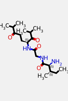 CC[C@H](C)[C@H](N)C(=O)NCC(=O)N[C@@H](CCC(=O)C(C)C)C(=O)C(C)C